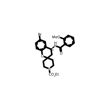 CCOC(=O)N1CCC2(CC1)C[C@H](NC(=O)c1ccccc1OC)c1cc(Br)ccc1O2